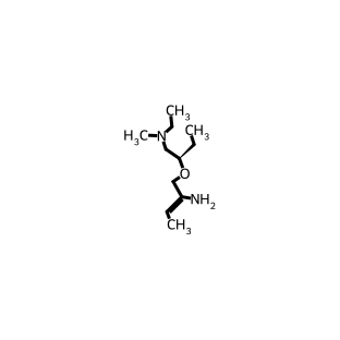 C/C=C(\N)CO[C@H](CC)CN(C)CC